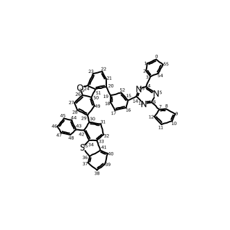 c1ccc(-c2nc(-c3ccccc3)nc(-c3cccc(-c4cccc5oc6ccc(-c7ccc8c(sc9ccccc98)c7-c7ccccc7)cc6c45)c3)n2)cc1